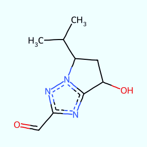 CC(C)C1CC(O)c2nc(C=O)nn21